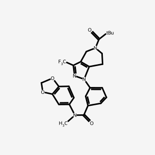 CN(C(=O)c1cccc(-n2nc(C(F)(F)F)c3c2CCN(C(=O)C(C)(C)C)C3)c1)c1ccc2c(c1)OCO2